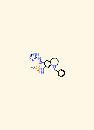 O=S(=O)(Nc1cc2c(cc1N=Nc1nnc[nH]1)CCCCN2Cc1ccccc1)C(F)(F)F